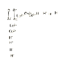 CC(=O)[O-].CC(=O)[O-].[Co+2].[Co+2].[Co+2].[Co+2].[Co+2].[H-].[H-].[H-].[H-].[H-].[H-].[H-].[H-]